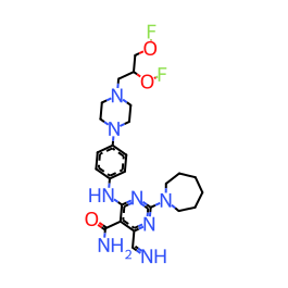 N=Cc1nc(N2CCCCCC2)nc(Nc2ccc(N3CCN(CC(COF)OF)CC3)cc2)c1C(N)=O